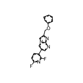 Fc1ccc(-c2cnc3nc(COc4ccccc4)cn3c2)c(F)n1